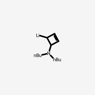 [Li][CH]1C=CC1N(CCCC)CCCC